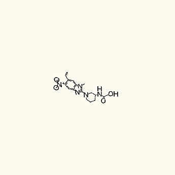 C=Cc1cc2c(cc1[N+](=O)[O-])nc(N1CCC[C@@H](NC(=O)O)C1)n2C